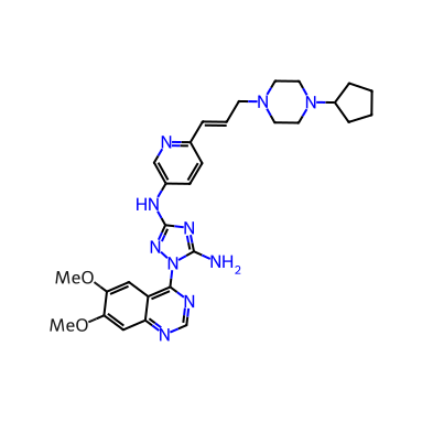 COc1cc2ncnc(-n3nc(Nc4ccc(C=CCN5CCN(C6CCCC6)CC5)nc4)nc3N)c2cc1OC